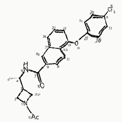 CC(=O)N1CC([C@H](C)NC(=O)c2ccc3c(Oc4ccc(C(F)(F)F)cc4)cccc3c2)C1